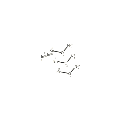 [In+3].[In+3].[N-2][O][Sn].[N-2][O][Sn].[N-2][O][Sn]